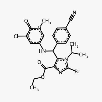 CCOC(=O)c1nc(Br)n(C(C)C)c1C(Nc1cc(Cl)c(=O)n(C)c1)c1ccc(C#N)cc1